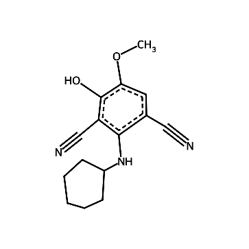 COc1cc(C#N)c(NC2CCCCC2)c(C#N)c1O